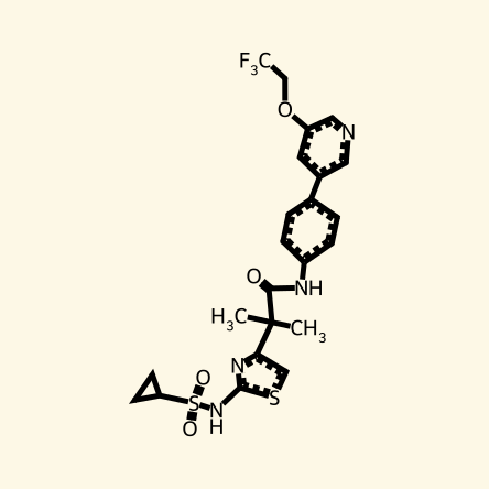 CC(C)(C(=O)Nc1ccc(-c2cncc(OCC(F)(F)F)c2)cc1)c1csc(NS(=O)(=O)C2CC2)n1